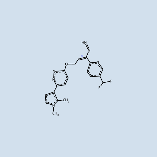 Cc1c(-c2ccc(OC/C=C(/N=N)c3ccc(C(F)F)cn3)nn2)cnn1C